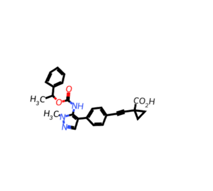 CC(OC(=O)Nc1c(-c2ccc(C#CC3(C(=O)O)CC3)cc2)cnn1C)c1ccccc1